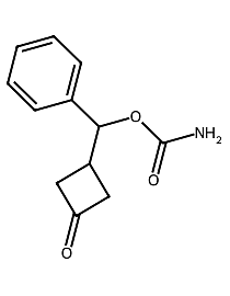 NC(=O)OC(c1ccccc1)C1CC(=O)C1